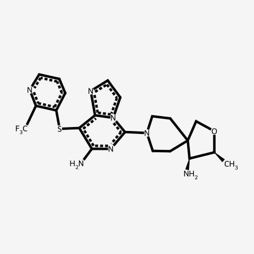 C[C@@H]1OCC2(CCN(c3nc(N)c(Sc4cccnc4C(F)(F)F)c4nccn34)CC2)[C@@H]1N